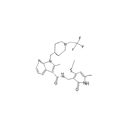 CSc1cc(C)[nH]c(=O)c1CNC(=O)c1c(C)n(CC2CCN(CC(F)(F)F)CC2)c2ncccc12